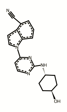 N#Cc1cccc2c1ccn2-c1ccnc(N[C@H]2CC[C@H](O)CC2)n1